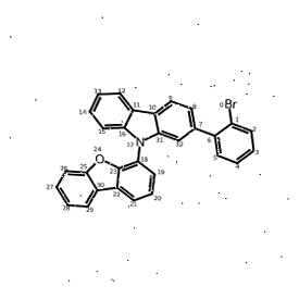 Brc1ccccc1-c1ccc2c3ccccc3n(-c3cccc4c3oc3ccccc34)c2c1